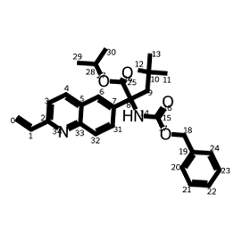 C=Cc1ccc2cc(C(CC(C)(C)C)(NC(=O)OCc3ccccc3)C(=O)OC(C)C)ccc2n1